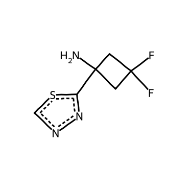 NC1(c2nncs2)CC(F)(F)C1